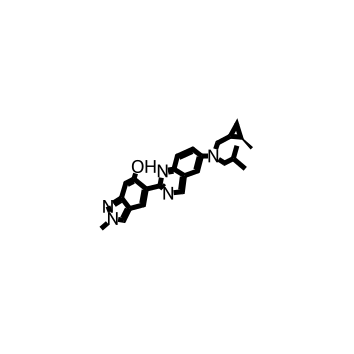 CC(C)CN(CC1C[C@H]1C)c1ccc2nc(-c3cc4cn(C)nc4cc3O)ncc2c1